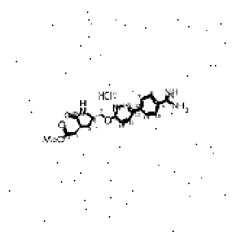 COC(=O)C[C@@H]1C[C@@H](COc2ccc(-c3ccc(C(=N)N)cc3)nn2)NC1=O.Cl